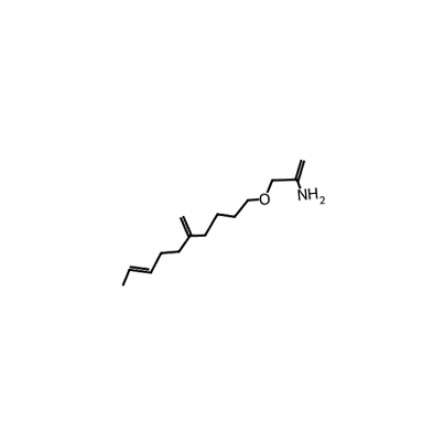 C=C(N)COCCCCC(=C)CC/C=C/C